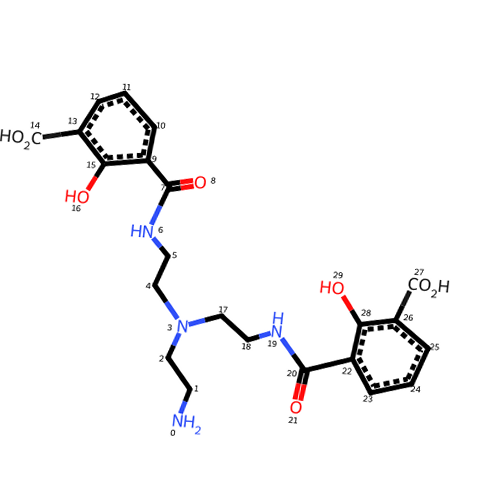 NCCN(CCNC(=O)c1cccc(C(=O)O)c1O)CCNC(=O)c1cccc(C(=O)O)c1O